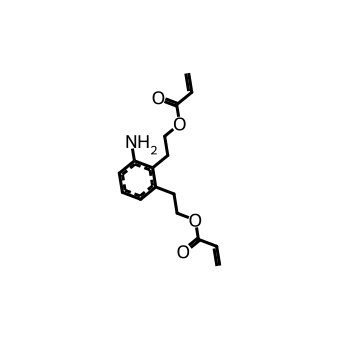 C=CC(=O)OCCc1cccc(N)c1CCOC(=O)C=C